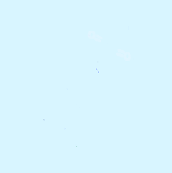 CS(=O)(=O)NCc1ccc(Br)s1